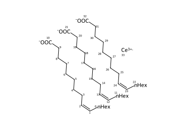 CCCCCC/C=C\CCCCCCCC(=O)[O-].CCCCCC/C=C\CCCCCCCC(=O)[O-].CCCCCC/C=C\CCCCCCCC(=O)[O-].[Ce+3]